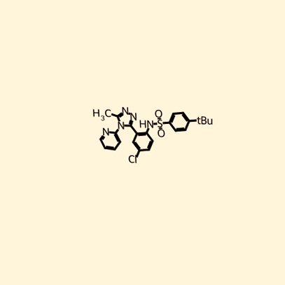 Cc1nnc(-c2cc(Cl)ccc2NS(=O)(=O)c2ccc(C(C)(C)C)cc2)n1-c1ccccn1